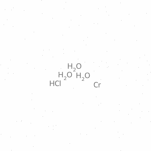 Cl.O.O.O.[Cr]